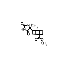 COC(=O)C12C3C4C1C1C2C3C41C1(C)NC(=O)NC1=O